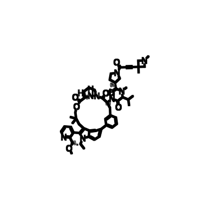 CCn1c(-c2cccnc2[C@H](C)OC)c2c3cc(ccc31)-c1cccc(c1)C[C@H](NC(=O)C(C(C)C)N(C)C(=O)[C@H]1CCN(C(=O)C#CC3(C)CN(C)C3)C1)C(=O)N1CCC[C@H](N1)C(=O)OCC(C)(C)C2